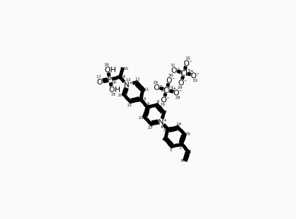 C=Cc1ccc(-[n+]2ccc(-c3cc[n+](C(C)P(=O)(O)O)cc3)cc2)cc1.[O-][Cl+3]([O-])([O-])[O-].[O-][Cl+3]([O-])([O-])[O-]